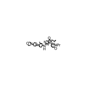 C=CCn1c(=O)c2cnc(NC3C=C(C)C(N4CCC(N5CCOCC5)CC4)=CC3)nc2n1-c1ccc(=O)n(C(C)C)n1